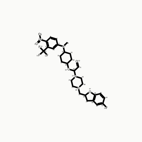 CN(c1ccc([N+](=O)[O-])c(C(F)(F)F)c1)C1CCC(OC(C=O)N2CCN(CC3Cc4cc(F)ccc4O3)CC2)CC1